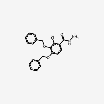 NNC(=O)c1ccc(OCc2ccccc2)c(OCc2ccccc2)c1Cl